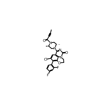 CC#CC(=O)N1C[C@H](C)N(c2nc(=O)n3c4c(c(-c5ccc(F)cc5F)c(Cl)cc24)OCC3)C[C@H]1C